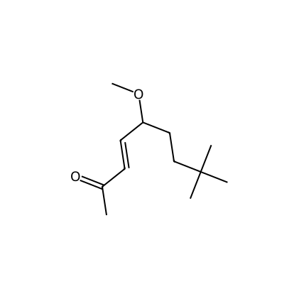 COC(C=CC(C)=O)CCC(C)(C)C